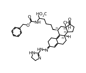 C[C@]12C[C@H](CCCCC(NC(=O)OCc3ccccc3)C(=O)O)C3=C4CCC(=NNC5=NCCN5)C=C4CC[C@H]3[C@@H]1CCC2=O